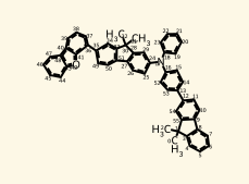 CC1(C)c2ccccc2-c2ccc(-c3ccc(N(c4ccccc4)c4ccc5c(c4)C(C)(C)c4cc(-c6cccc7c6oc6ccccc67)ccc4-5)cc3)cc21